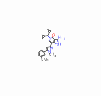 CNc1cccc(-c2cc(-c3cn(C(C4CC4)C4CC4)c(=O)c4c(N)n[nH]c34)nn2C)c1